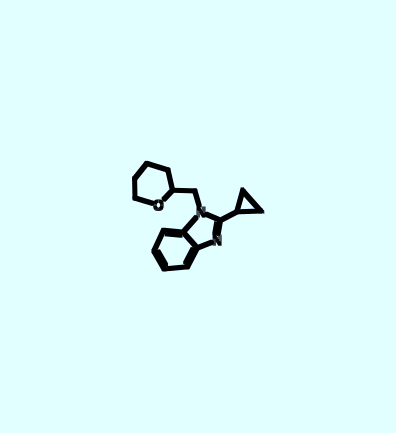 c1ccc2c(c1)nc(C1CC1)n2CC1CCCCO1